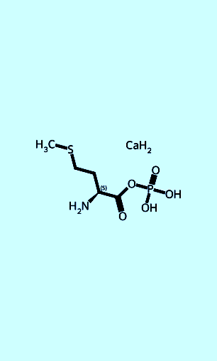 CSCC[C@H](N)C(=O)OP(=O)(O)O.[CaH2]